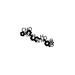 Cc1ccc(C(=O)NCc2cc3nc(-c4cccc(N5CCCC5C=O)n4)ccc3cn2)cc1S(C)(=O)=O